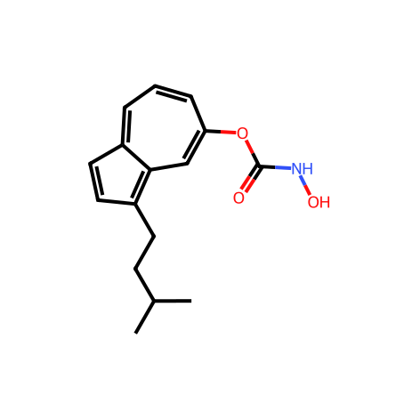 CC(C)CCc1ccc2cccc(OC(=O)NO)cc1-2